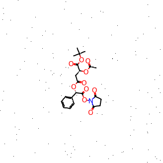 CC(=O)O[C@@H](CC(=O)O[C@H](C(=O)ON1C(=O)CCC1=O)c1ccccc1)C(=O)OC(C)(C)C